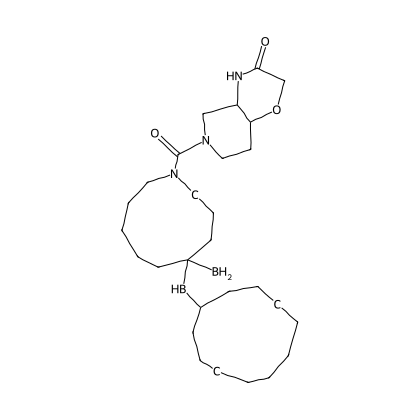 BC1(BC2CCCCCCCCCC2)CCCCCN(C(=O)N2CCC3OCC(=O)NC3C2)CCC1